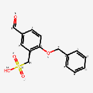 O=Cc1ccc(OCc2ccccc2)c(CS(=O)(=O)O)c1